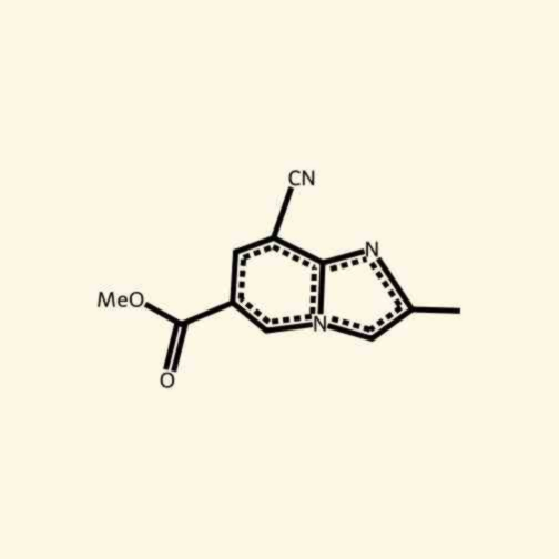 COC(=O)c1cc(C#N)c2nc(C)cn2c1